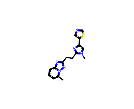 Cc1cccc2nc(CCc3nc(-c4cncs4)cn3C)nn12